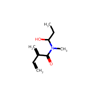 C=CC(=C)C(=O)N(C)C(O)CC